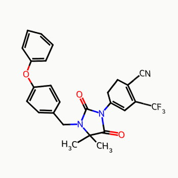 CC1(C)C(=O)N(C2=CC(C(F)(F)F)=C(C#N)CC2)C(=O)N1Cc1ccc(Oc2ccccc2)cc1